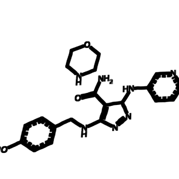 C1COCCN1.NC(=O)C1=C(NCc2ccc(O)cc2)N=NC1Nc1cccnc1